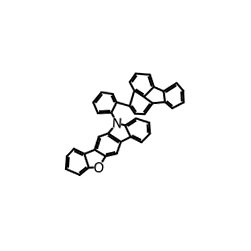 c1ccc2c(c1)-c1cccc3c(-c4ccccc4-n4c5ccccc5c5cc6oc7ccccc7c6cc54)ccc-2c13